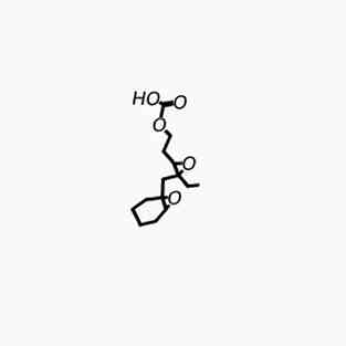 CCC1(CC23CCCCC2O3)OC1CCOC(=O)O